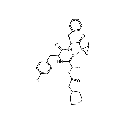 COc1ccc(C[C@H](NC(=O)[C@H](C)NC(=O)CN2CCOCC2)C(=O)N[C@@H](Cc2ccccc2)C(=O)[C@]2(C)OC2(C)C)cc1